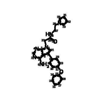 Nc1ncnc2c1c(-c1ccc(Oc3ccccc3)cc1)cn2CC(=O)NCCn1cccc1